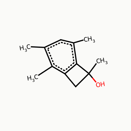 Cc1cc(C)c2c(c1C)CC2(C)O